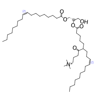 CCCCCCCC/C=C\CCCCCCCC(=O)OC[C@H](CO)OC(=O)CCCCC(CC/C=C\CCCCCCCC)C(=O)CCC[N+](C)(C)C